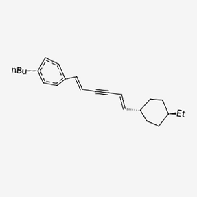 CCCCc1ccc(C=CC#CC=C[C@H]2CC[C@H](CC)CC2)cc1